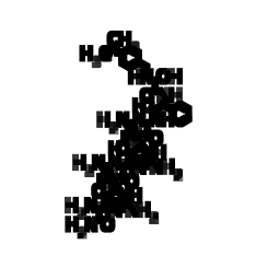 CN(C)c1ccc(CNC(O)C(=O)NC(C(=O)NC(NC(=N)N)C(=O)NC(NC(=N)N)C(=O)NC(NC(=N)N)C(=O)NC(NC(=N)N)C(=O)NC(N)C(N)=O)c2ccccc2)cc1